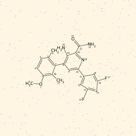 COc1ccc(C)c(-c2cc(-c3cc(F)cc(F)c3)nc(C(N)=O)c2N)c1C